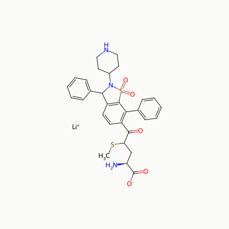 CSC(C[C@H](N)C(=O)[O-])C(=O)c1ccc2c(c1-c1ccccc1)S(=O)(=O)N(C1CCNCC1)C2c1ccccc1.[Li+]